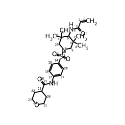 C=CC(=O)NC1C(C)(C)CN(S(=O)(=O)c2ccc(NC(=O)C3CCOCC3)cc2)CC1(C)C